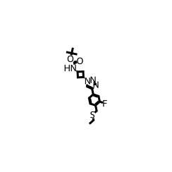 CCSCc1ccc(-c2cn([C@H]3C[C@@H](NC(=O)OC(C)(C)C)C3)nn2)cc1F